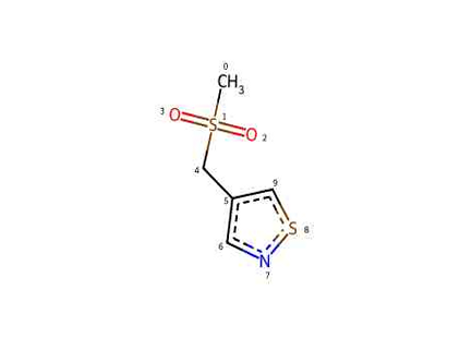 CS(=O)(=O)Cc1cnsc1